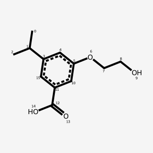 CC(C)c1cc(OCCO)cc(C(=O)O)c1